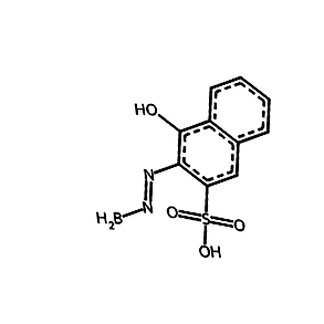 B/N=N/c1c(S(=O)(=O)O)cc2ccccc2c1O